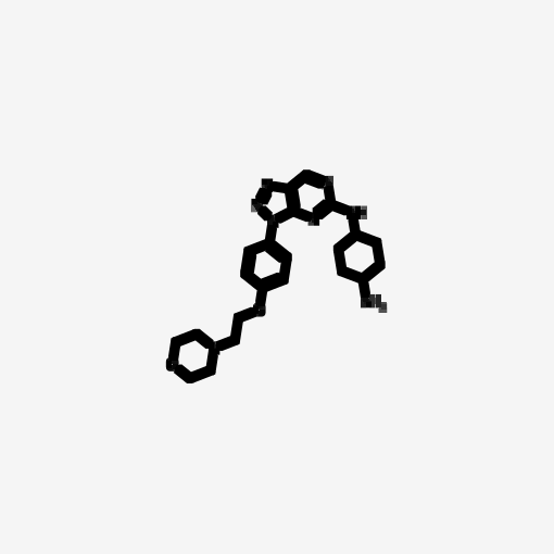 NC1CCC(Nc2ncc3nnn(-c4ccc(OCCN5CCOCC5)cc4)c3n2)CC1